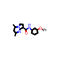 Cc1cc(C)n2ccc(C(=O)Nc3cccc(OC(C)C)c3)c2n1